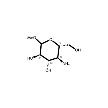 COC1O[C@H](CO)[C@@H](N)[C@H](O)[C@H]1O